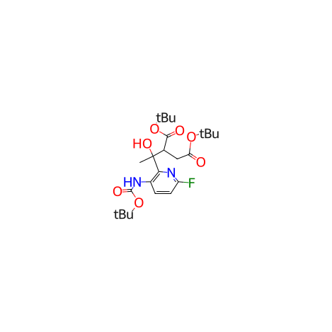 CC(C)(C)OC(=O)CC(C(=O)OC(C)(C)C)C(C)(O)c1nc(F)ccc1NC(=O)OC(C)(C)C